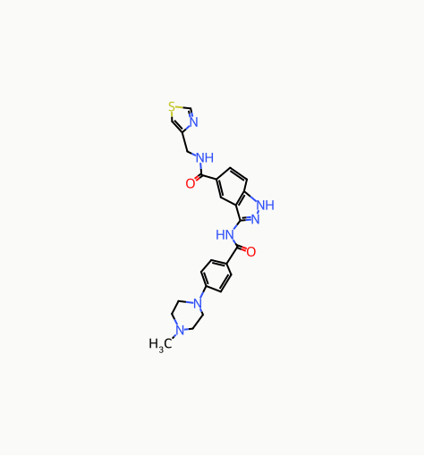 CN1CCN(c2ccc(C(=O)Nc3n[nH]c4ccc(C(=O)NCc5cscn5)cc34)cc2)CC1